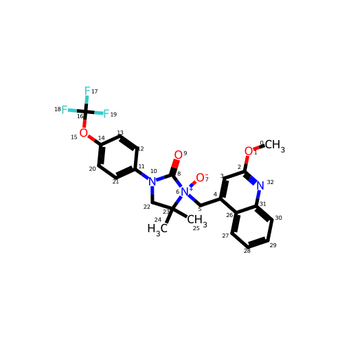 COc1cc(C[N+]2([O-])C(=O)N(c3ccc(OC(F)(F)F)cc3)CC2(C)C)c2ccccc2n1